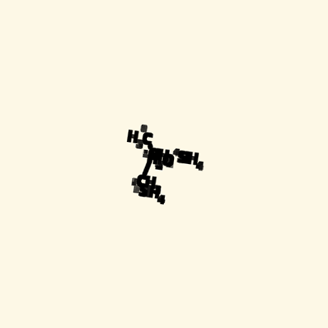 C[SiH2]C.O.[SiH4].[SiH4]